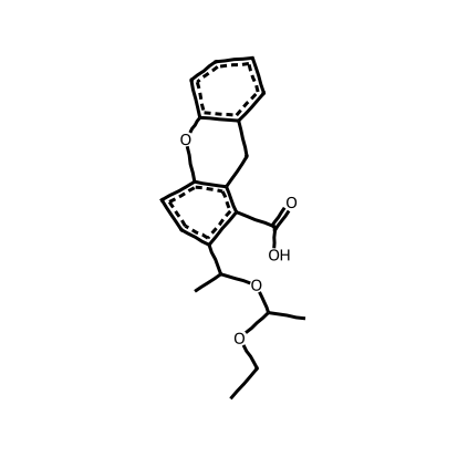 CCOC(C)OC(C)c1ccc2c(c1C(=O)O)Cc1ccccc1O2